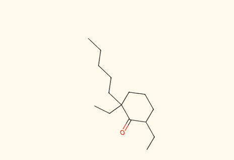 CCCCCC1(CC)CCCC(CC)C1=O